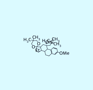 CC[C@]12C[C@@](O)(C[Si](C)(C)C)C3c4ccc(OC)cc4CCC3C1CCC21OCC(C)(C)CO1